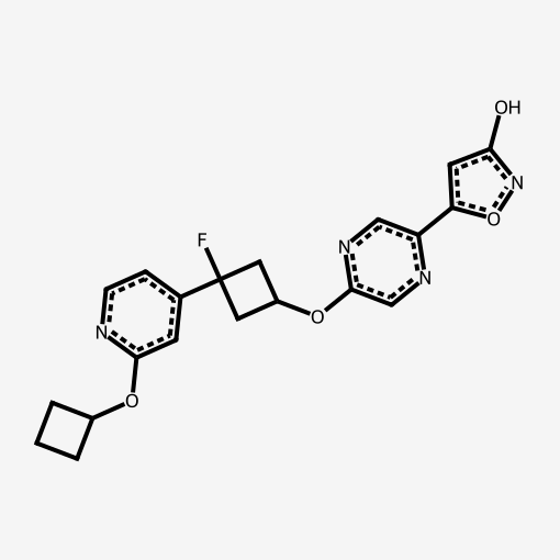 Oc1cc(-c2cnc(OC3CC(F)(c4ccnc(OC5CCC5)c4)C3)cn2)on1